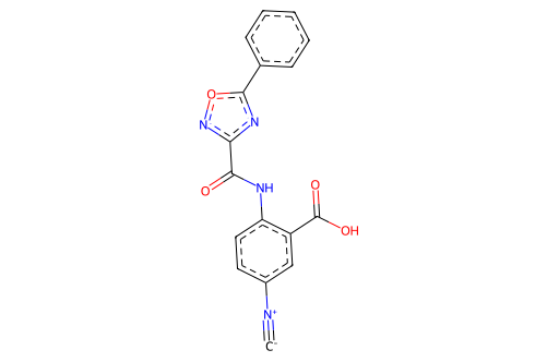 [C-]#[N+]c1ccc(NC(=O)c2noc(-c3ccccc3)n2)c(C(=O)O)c1